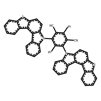 CC(C)c1c(C#N)c(-n2c3ccccc3c3c4c(ccc32)sc2ccccc24)c(C(C)C)c(-n2c3ccccc3c3c4c(ccc32)sc2ccccc24)c1C#N